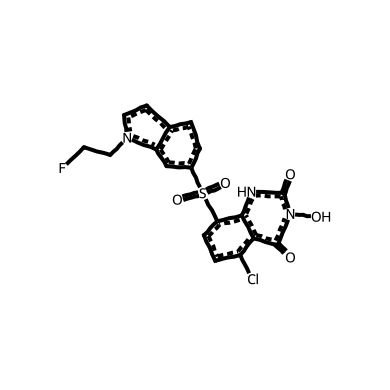 O=c1[nH]c2c(S(=O)(=O)c3ccc4ccn(CCF)c4c3)ccc(Cl)c2c(=O)n1O